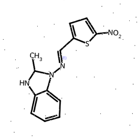 CC1Nc2ccccc2N1/N=C/c1ccc([N+](=O)[O-])s1